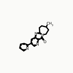 CC1CCc2nc3cc(-c4ccccn4)cnc3c(=O)n2CC1